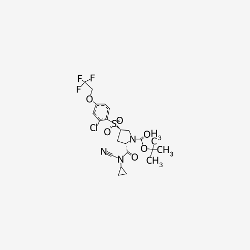 CC(C)(C)OC(=O)N1C[C@H](S(=O)(=O)c2ccc(OCC(F)(F)F)cc2Cl)C[C@H]1C(=O)N(C#N)C1CC1